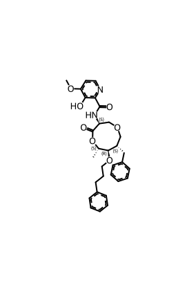 COc1ccnc(C(=O)N[C@H]2COC[C@H](Cc3ccccc3)[C@@H](OCCCc3ccccc3)[C@H](C)OC2=O)c1O